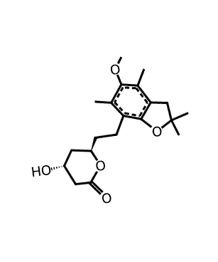 COc1c(C)c(CC[C@@H]2C[C@@H](O)CC(=O)O2)c2c(c1C)CC(C)(C)O2